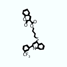 O=C(OCCCCSc1cc(-c2cccc(C(F)(F)F)c2)nc2ccccc12)c1cc2ccccc2oc1=O